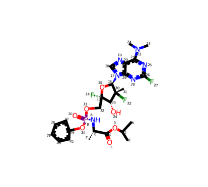 CC(C)OC(=O)[C@H](C)N[P@](=O)(OC[C@@]1(F)O[C@@H](n2cnc3c(N(C)C)nc(F)nc32)[C@](C)(F)[C@@H]1O)Oc1ccccc1